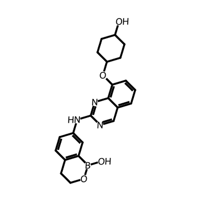 OB1OCCc2ccc(Nc3ncc4cccc(OC5CCC(O)CC5)c4n3)cc21